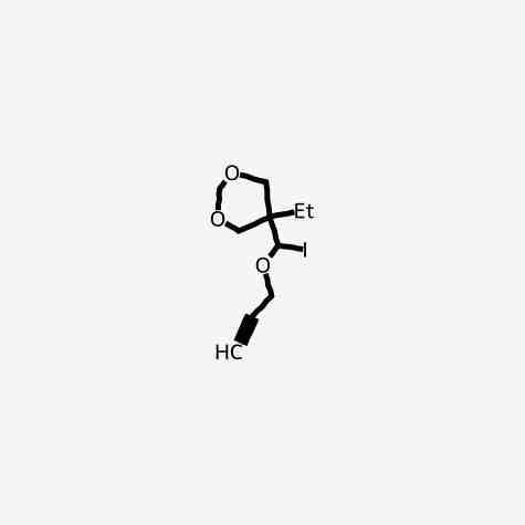 C#CCOC(I)C1(CC)COCOC1